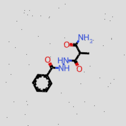 C[C](C(N)=O)C(=O)NNC(=O)c1ccccc1